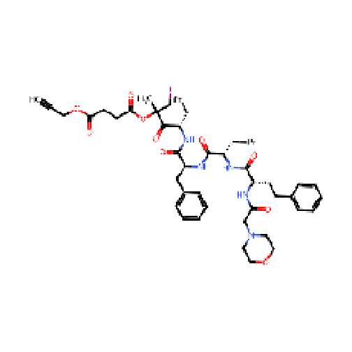 C#CCOC(=O)CCC(=O)OC(C)(CI)C(=O)[C@H](CC(C)C)NC(=O)[C@H](Cc1ccccc1)NC(=O)[C@H](CC(C)C)NC(=O)[C@H](CCc1ccccc1)NC(=O)CN1CCOCC1